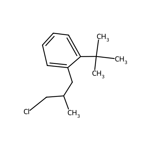 CC(CCl)Cc1ccccc1C(C)(C)C